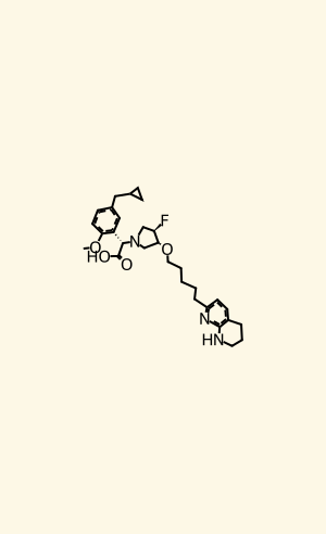 COc1ccc(CC2CC2)cc1[C@@H](C(=O)O)N1C[C@@H](F)[C@H](OCCCCCc2ccc3c(n2)NCCC3)C1